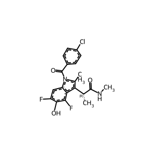 CNC(=O)[C@H](C)c1c(C)n(C(=O)c2ccc(Cl)cc2)c2cc(F)c(O)c(F)c12